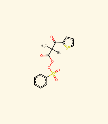 CCC(C)(C(=O)OOS(=O)(=O)c1ccccc1)C(=O)c1cccs1